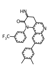 Cc1ccc(-c2ccc3ncc4c(c3c2)N(c2cccc(C(F)(F)F)c2)C(=O)C(=N)C4)cc1C